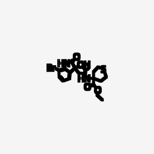 CCOC(=O)C1(NC(=O)CC2(O)C(=O)Nc3c(Br)cccc32)CCSCC1